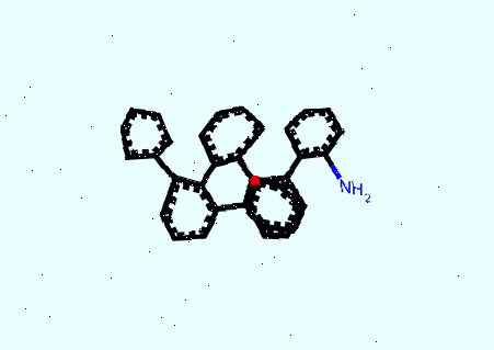 Nc1ccccc1-c1ccccc1-c1ccccc1-c1c(-c2ccccc2)cccc1-c1ccccc1